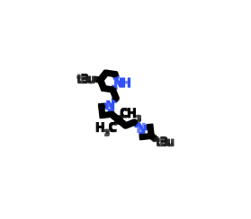 CC(C)(C)C1CCNC(CN2CCC2C(C)(C)CCN2CC(C(C)(C)C)C2)C1